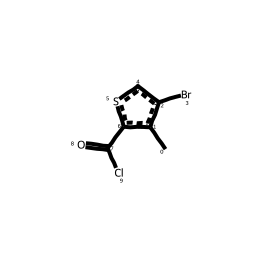 Cc1c(Br)csc1C(=O)Cl